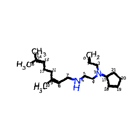 C=CCN(CCNCC=C(C)CCC=C(C)C)C1CCCC1